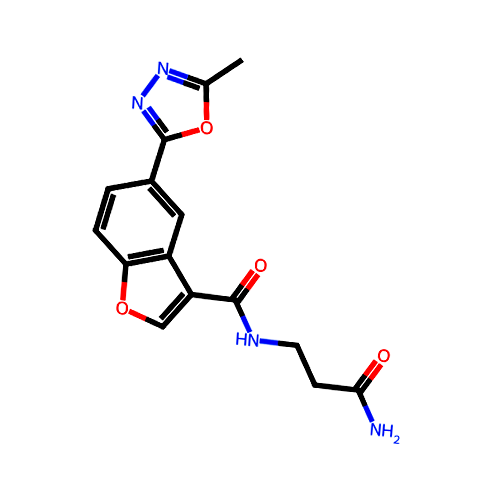 Cc1nnc(-c2ccc3occ(C(=O)NCCC(N)=O)c3c2)o1